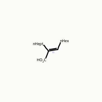 CCCCCC/C=C(\CCCCCCC)C(=O)O